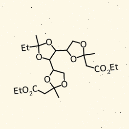 CCOC(=O)CC1(C)OCC(C2OC(C)(CC)OC2C2COC(C)(CC(=O)OCC)O2)O1